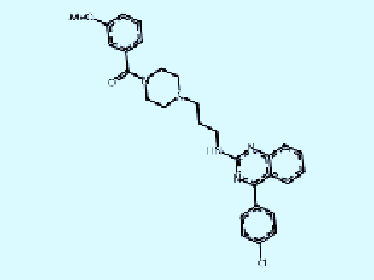 COc1cccc(C(=O)N2CCN(CCCNc3nc(-c4ccc(Cl)cc4)c4ccccc4n3)CC2)c1